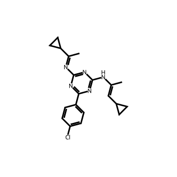 CC(=CC1CC1)Nc1nc(/N=C(\C)C2CC2)nc(-c2ccc(Cl)cc2)n1